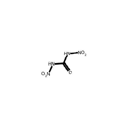 O=C(N[N+](=O)[O-])N[N+](=O)[O-]